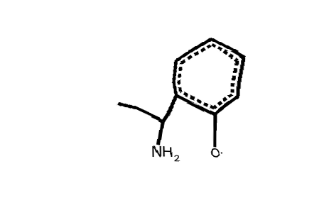 CC(N)c1ccccc1[O]